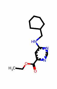 CCOC(=O)c1cc(NCC2CCCCC2)ncn1